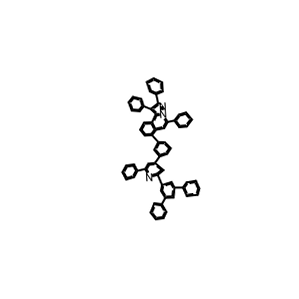 c1ccc(-c2cc(-c3ccccc3)cc(-c3cc(-c4cccc(-c5cccc6c5cc(-c5ccccc5)n5nc(-c7ccccc7)c(-c7ccccc7)c65)c4)cc(-c4ccccc4)n3)c2)cc1